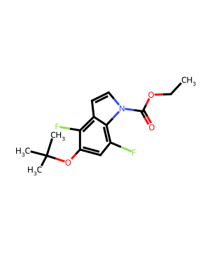 CCOC(=O)n1ccc2c(F)c(OC(C)(C)C)cc(F)c21